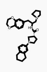 O=C(NC(Cc1ccc2c(c1)OCCO2)CN1CCCC1)[C@@H]1CCN(c2ccc3c(c2)CCCC3)C1